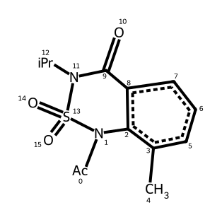 CC(=O)N1c2c(C)cccc2C(=O)N(C(C)C)S1(=O)=O